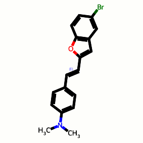 CN(C)c1ccc(/C=C/c2cc3cc(Br)ccc3o2)cc1